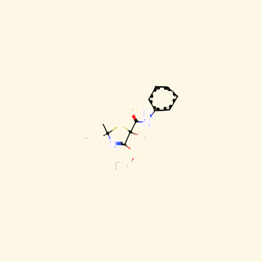 CC1(C(F)(F)F)N=C(OC(F)(F)F)C(Br)(C(=O)Nc2ccccc2)S1